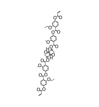 C=CC(=O)Oc1ccc(C(=O)Oc2ccc(C(=O)O[C@@H]3CO[C@H]4[C@@H]3OC[C@H]4OC(=O)c3ccc(OC(=O)c4ccc(OC(=O)C=C)cc4OCC)cc3OC)c(OC)c2)c(OCC)c1